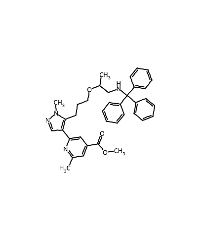 COC(=O)c1cc(C)nc(-c2cnn(C)c2CCCOC(C)CNC(c2ccccc2)(c2ccccc2)c2ccccc2)c1